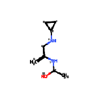 C=C(CNC1CC1)NC(C)O